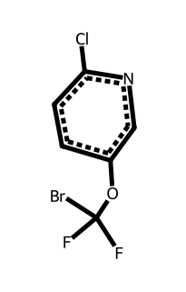 FC(F)(Br)Oc1ccc(Cl)nc1